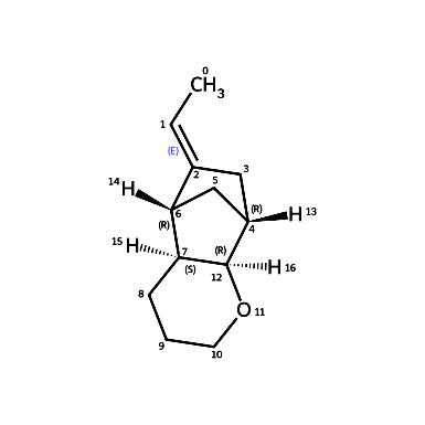 C/C=C1\C[C@H]2C[C@@H]1[C@@H]1CCCO[C@H]21